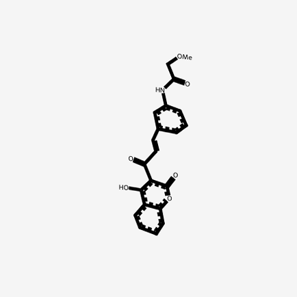 COCC(=O)Nc1cccc(C=CC(=O)c2c(O)c3ccccc3oc2=O)c1